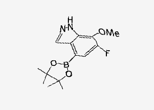 COc1c(F)cc(B2OC(C)(C)C(C)(C)O2)c2cn[nH]c12